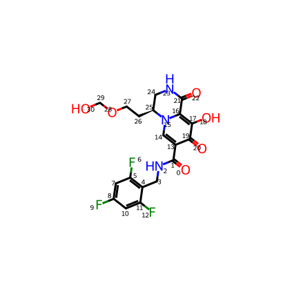 O=C(NCc1c(F)cc(F)cc1F)c1cn2c(c(O)c1=O)C(=O)NC[C@@H]2CCOCO